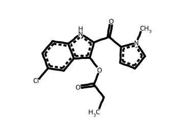 CCC(=O)Oc1c(C(=O)c2cccn2C)[nH]c2ccc(Cl)cc12